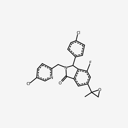 CC1(c2cc(F)c3c(c2)C(=O)N(Cc2ccc(Cl)cn2)C3c2ccc(Cl)cc2)CO1